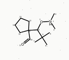 C[SiH](C)OC(C(C)(C)C)C1(C=O)CCCC1